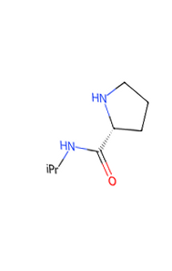 CC(C)NC(=O)[C@H]1CCCN1